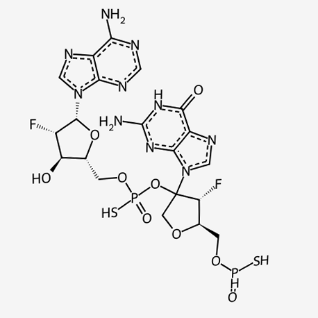 Nc1nc2c(ncn2C2(OP(=O)(S)OC[C@H]3O[C@@H](n4cnc5c(N)ncnc54)[C@@H](F)[C@@H]3O)CO[C@H](CO[PH](=O)S)[C@H]2F)c(=O)[nH]1